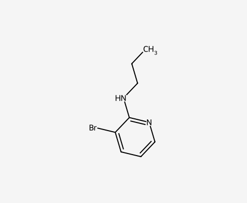 CCCNc1ncccc1Br